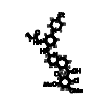 C=CC(=O)Nc1cc(N2CCN(CC)CC2)ccc1Nc1ccc2cc(C(O)c3c(Cl)c(OC)cc(OC)c3Cl)ccc2n1